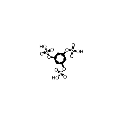 O=S(=O)(O)Oc1cc(OS(=O)(=O)O)cc(OS(=O)(=O)O)c1